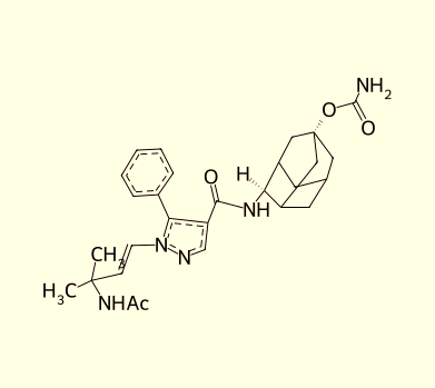 CC(=O)NC(C)(C)/C=C/n1ncc(C(=O)N[C@H]2C3CC4CC2C[C@](OC(N)=O)(C4)C3)c1-c1ccccc1